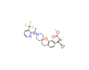 COC(=O)[C@H](C)[C@H](c1ccc2c(c1)OC1(CC2)CCN([C@H](C)c2ncccc2C(F)(F)F)CC1)C1CC1